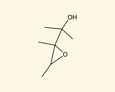 CC1OC1(C)C(C)(C)O